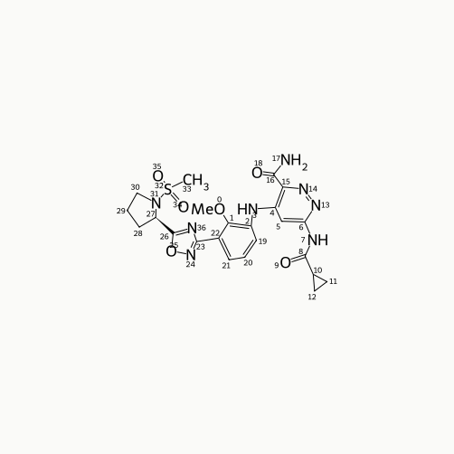 COc1c(Nc2cc(NC(=O)C3CC3)nnc2C(N)=O)cccc1-c1noc([C@H]2CCCN2S(C)(=O)=O)n1